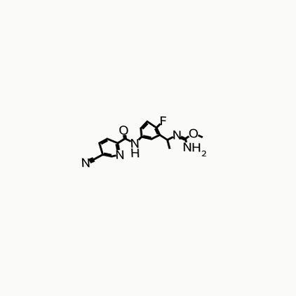 CO/C(N)=N/C(C)c1cc(NC(=O)c2ccc(C#N)cn2)ccc1F